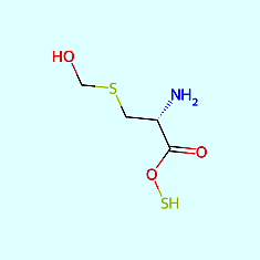 N[C@@H](CSCO)C(=O)OS